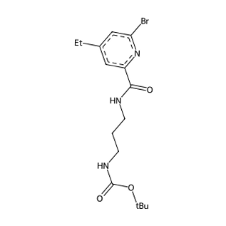 CCc1cc(Br)nc(C(=O)NCCCNC(=O)OC(C)(C)C)c1